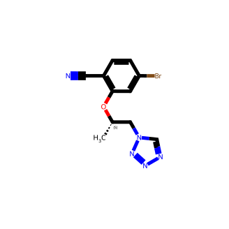 C[C@@H](Cn1cnnn1)Oc1cc(Br)ccc1C#N